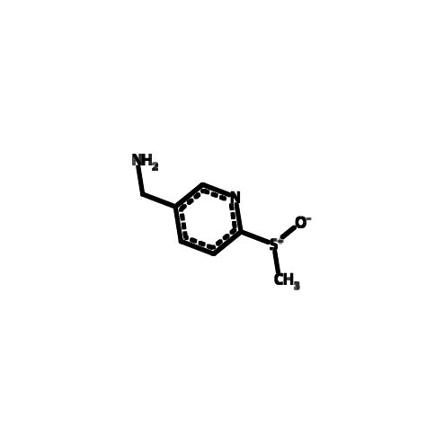 C[S+]([O-])c1ccc(CN)cn1